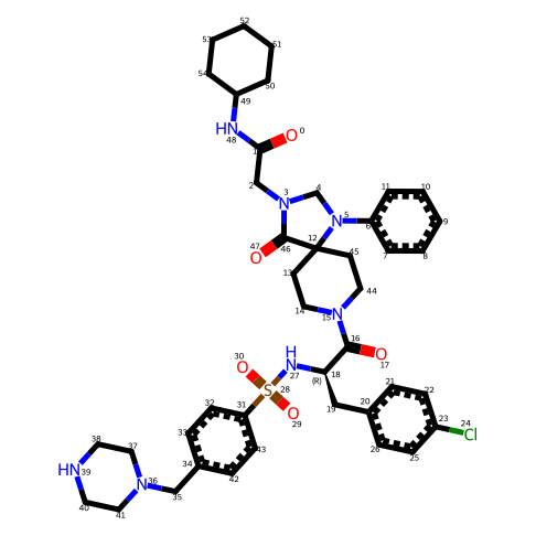 O=C(CN1CN(c2ccccc2)C2(CCN(C(=O)[C@@H](Cc3ccc(Cl)cc3)NS(=O)(=O)c3ccc(CN4CCNCC4)cc3)CC2)C1=O)NC1CCCCC1